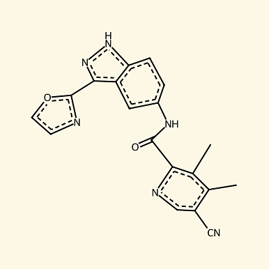 Cc1c(C#N)cnc(C(=O)Nc2ccc3[nH]nc(-c4ncco4)c3c2)c1C